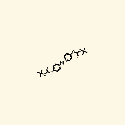 CC(C)(C)OC(=O)Oc1cc[c]([Hf+2][c]2ccc(OC(=O)OC(C)(C)C)cc2)cc1